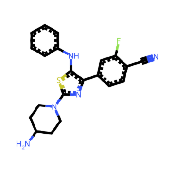 N#Cc1ccc(-c2nc(N3CCC(N)CC3)sc2Nc2ccccc2)cc1F